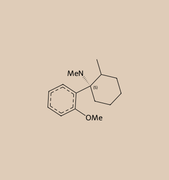 CN[C@@]1(c2ccccc2OC)CCCCC1C